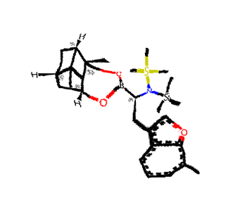 Cc1cccc2c(C[C@@H](B3O[C@@H]4C[C@@H]5C[C@@H](C5(C)C)[C@]4(C)O3)N([Si](C)(C)C)S(C)(C)C)coc12